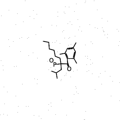 CCCCCCC(CC(C)C)(P=O)C(=O)c1c(C)cc(C)cc1C